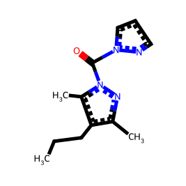 CCCc1c(C)nn(C(=O)n2cccn2)c1C